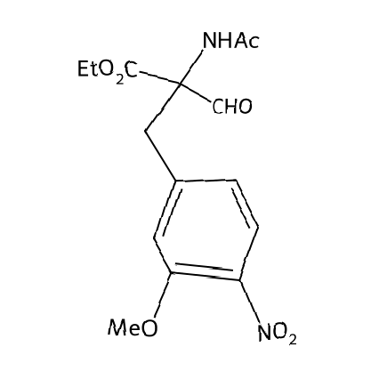 CCOC(=O)C(C=O)(Cc1ccc([N+](=O)[O-])c(OC)c1)NC(C)=O